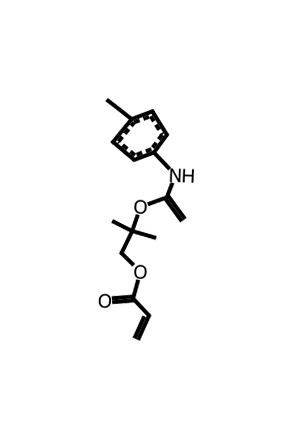 C=CC(=O)OCC(C)(C)OC(=C)Nc1ccc(C)cc1